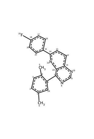 Cc1ccc(C)c(-c2ncnc3ccc(-c4ccc(F)cc4)nc23)c1